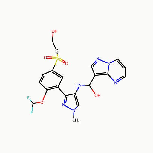 Cn1cc(NC(O)c2cnn3cccnc23)c(-c2cc(S(=O)(=O)CCO)ccc2OC(F)F)n1